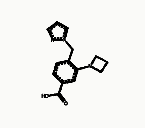 O=C(O)c1ccc(Cn2cccn2)c(N2CCC2)c1